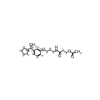 CC(=O)OCCC(=O)NCCCOc1cccc(C(C)N2CCCC2)c1